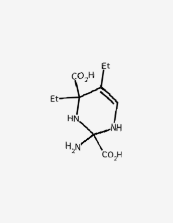 CCC1=CNC(N)(C(=O)O)NC1(CC)C(=O)O